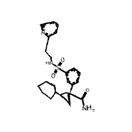 NC(=O)[C@]1(c2cccc(S(=O)(=O)NCCc3ccccn3)c2)C[C@H]1C1CCCCC1